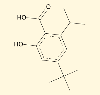 CC(C)c1cc(C(C)(C)C)cc(O)c1C(=O)O